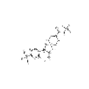 CC(C)(C)OC(=O)N1CCC2(CC1)CC(=O)N(c1ccc(C(F)(F)F)cc1F)C2